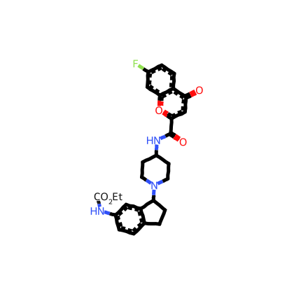 CCOC(=O)Nc1ccc2c(c1)C(N1CCC(NC(=O)c3cc(=O)c4ccc(F)cc4o3)CC1)CC2